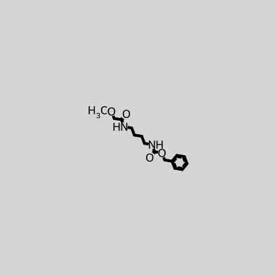 COCC(=O)NCCCCNC(=O)OCc1ccccc1